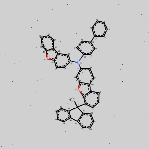 CC1(c2cccc3c2oc2cc(N(c4ccc(-c5ccccc5)cc4)c4ccc5oc6ccccc6c5c4)ccc23)c2ccccc2-c2ccccc21